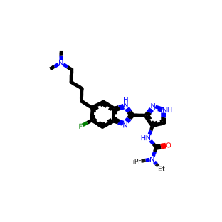 CCN(C(=O)Nc1c[nH]nc1-c1nc2cc(F)c(CCCCN(C)C)cc2[nH]1)C(C)C